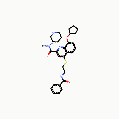 CC(C)N(C(=O)c1cc(SCCNC(=O)c2ccccc2)c2cccc(OC3CCCC3)c2n1)[C@@H]1CCCNC1